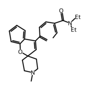 C=C(/C=C\C(=C/C)C(=O)N(CC)CC)C1=CC2(CCN(C)CC2)Oc2ccccc21